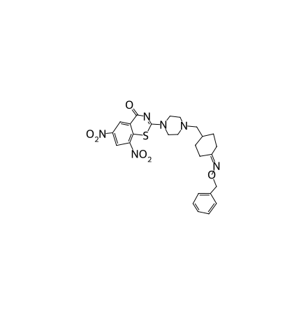 O=c1nc(N2CCN(CC3CCC(=NOCc4ccccc4)CC3)CC2)sc2c([N+](=O)[O-])cc([N+](=O)[O-])cc12